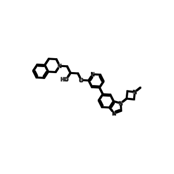 CN1CC(n2cnc3ccc(-c4ccnc(OCC(O)CN5CCc6ccccc6C5)c4)cc32)C1